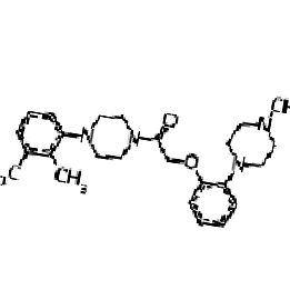 Cc1cccc(N2CCN(C(=O)COc3ccccc3N3CCN(C)CC3)CC2)c1C